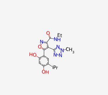 CCNC(=O)c1noc(-c2cc(C(C)C)c(O)cc2O)c1-c1nnn(C)n1